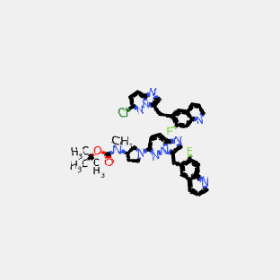 CN(C(=O)OC(C)(C)C)C1CCN(c2ccc3ncc(Cc4cc5cccnc5cc4F)n3n2)C1.Fc1cc2ncccc2cc1Cc1cnc2ccc(Cl)nn12